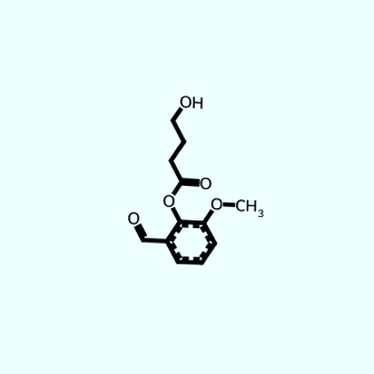 COc1cccc(C=O)c1OC(=O)CCCO